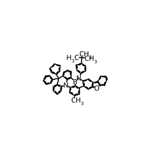 Cc1cc2c3c(c1)N1c4ccccc4C(c4ccccc4)(c4ccccc4)c4cccc(c41)B3N(c1ccc(C(C)(C)C)cc1)c1cc3c(cc1-2)oc1ccccc13